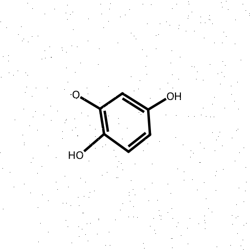 [O]c1cc(O)ccc1O